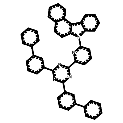 c1ccc(-c2cccc(-c3nc(-c4cccc(-c5ccccc5)c4)nc(-c4cccc(-n5c6ccccc6c6c7ccccc7ccc65)n4)n3)c2)cc1